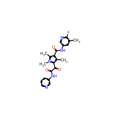 Cc1cc(NC(=O)c2c(C)c(C(=O)C(=O)Nc3cccnc3)n(C)c2C)cnc1F